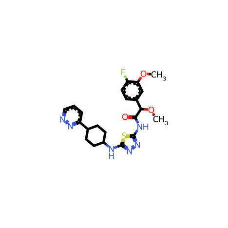 COc1cc(C(OC)C(=O)Nc2nnc(NC3CCC(c4cccnn4)CC3)s2)ccc1F